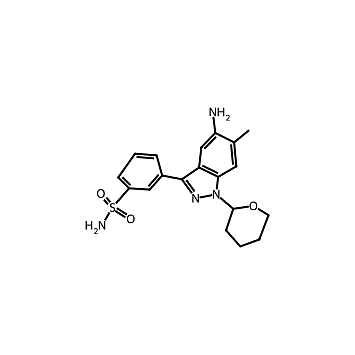 Cc1cc2c(cc1N)c(-c1cccc(S(N)(=O)=O)c1)nn2C1CCCCO1